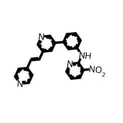 O=[N+]([O-])c1cccnc1Nc1cccc(-c2cncc(C=Cc3ccncc3)c2)c1